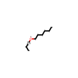 CCCCCC[O][Zn][CH2]C